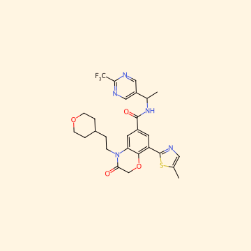 Cc1cnc(-c2cc(C(=O)NC(C)c3cnc(C(F)(F)F)nc3)cc3c2OCC(=O)N3CCC2CCOCC2)s1